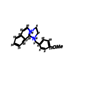 COc1ccc(CN2CC[n+]3ccc4ccccc4c32)cc1